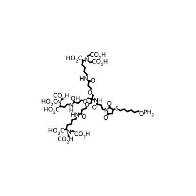 O=C(O)CN(CC(=O)O)C(CCCCNC(=O)CCOCC(COCCC(=O)NCCCCC(C(=O)O)N(CC(=O)O)CC(=O)O)(COCCC(O)NCCC(C(=O)O)N(CC(=O)O)C(=O)O)NC(=O)CCN1C(=O)CC(SCCCCCCOP)C1=O)C(=O)O